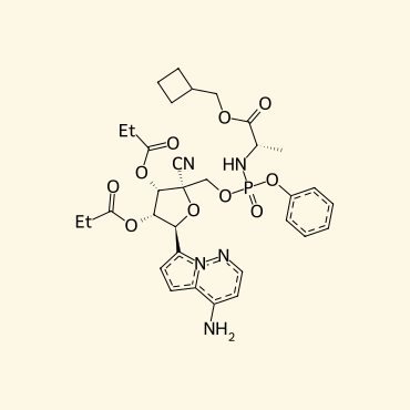 CCC(=O)O[C@H]1[C@H](c2ccc3c(N)ccnn23)O[C@](C#N)(COP(=O)(N[C@@H](C)C(=O)OCC2CCC2)Oc2ccccc2)[C@H]1OC(=O)CC